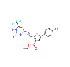 CCOC(=O)c1cc(-c2ccc(Cl)cc2)oc1/C=C/c1cc(C(F)(F)F)[nH]c(=O)n1